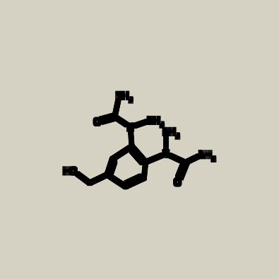 NC(=O)N(N)c1ccc(CO)cc1N(N)C(N)=O